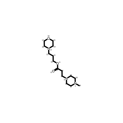 CN1CCN(CCC(=O)OCCCN2CCOCC2)CC1